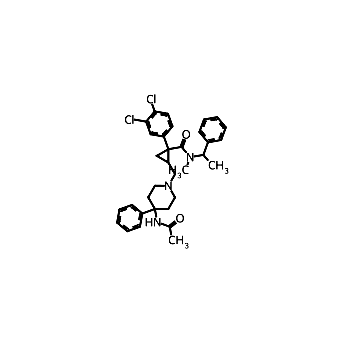 CC(=O)NC1(c2ccccc2)CCN(CC2CC2(C(=O)N(C)C(C)c2ccccc2)c2ccc(Cl)c(Cl)c2)CC1